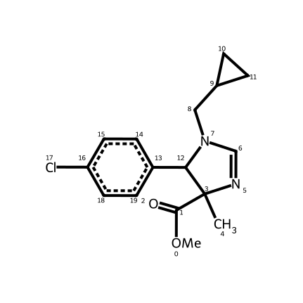 COC(=O)C1(C)N=CN(CC2CC2)C1c1ccc(Cl)cc1